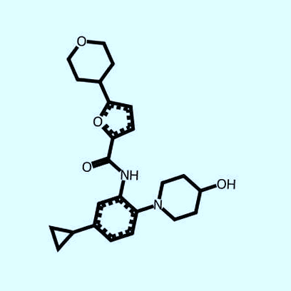 O=C(Nc1cc(C2CC2)ccc1N1CCC(O)CC1)c1ccc(C2CCOCC2)o1